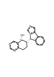 O[C@H]1c2cncnc2CC[C@H]1C1c2ccccc2-c2cncn21